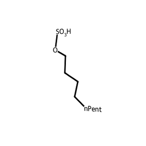 CCCCCCCCCOS(=O)(=O)O